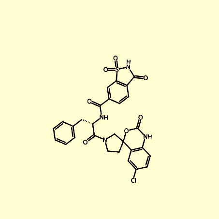 O=C1Nc2ccc(Cl)cc2C2(CCN(C(=O)[C@H](Cc3ccccc3)NC(=O)c3ccc4c(c3)S(=O)(=O)NC4=O)C2)O1